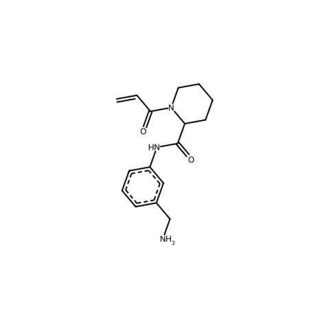 C=CC(=O)N1CCCCC1C(=O)Nc1cccc(CN)c1